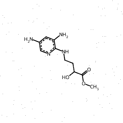 COC(=O)C(O)CCNc1ncc(N)cc1N